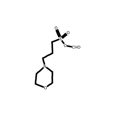 O=COS(=O)(=O)CCCN1CCOCC1